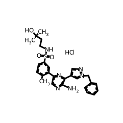 Cc1ccc(S(=O)(=O)NCCC(C)(C)O)cc1-c1cnc(N)c(-c2cnn(Cc3ccccc3)c2)n1.Cl